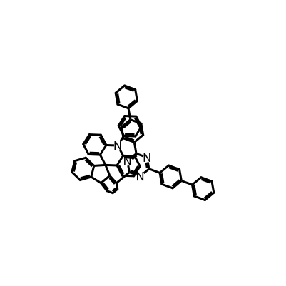 c1ccc(-c2ccc(-c3nc(-c4ccc(-c5ccccc5)cc4)nc(-c4cccc5c4C4(c6ccccc6-5)c5ccccc5N(c5ccccc5)c5ccccc54)n3)cc2)cc1